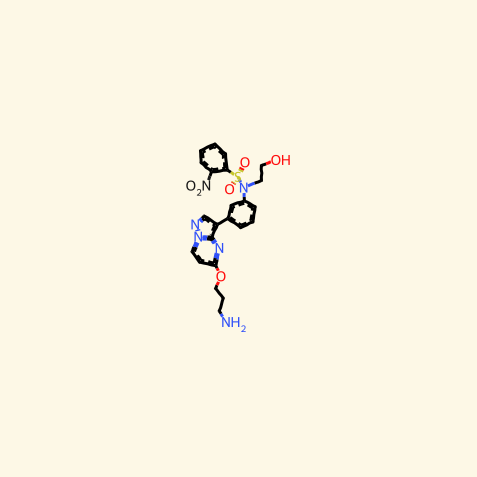 NCCCOc1ccn2ncc(-c3cccc(N(CCO)S(=O)(=O)c4ccccc4[N+](=O)[O-])c3)c2n1